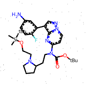 CC(C)(C)OC(=O)N(CCC1CCCN1CCO[Si](C)(C)C(C)(C)C)c1ccn2ncc(-c3cc(N)ccc3F)c2n1